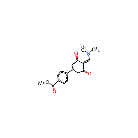 COC(=O)c1ccc(C2CC(=O)C(=CN(C)C)C(=O)C2)cc1